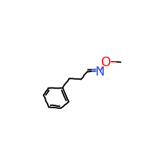 CO/N=C/CCc1ccccc1